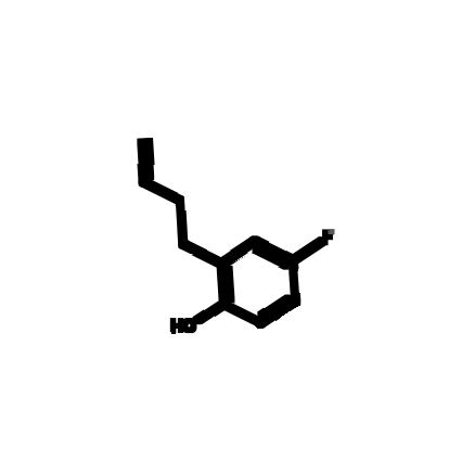 C=CCCc1cc(F)ccc1O